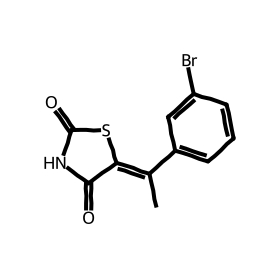 C/C(=C1/SC(=O)NC1=O)c1cccc(Br)c1